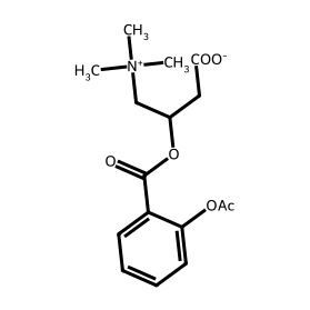 CC(=O)Oc1ccccc1C(=O)OC(CC(=O)[O-])C[N+](C)(C)C